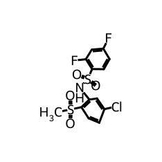 CS(=O)(=O)c1ccc(Cl)cc1NS(=O)(=O)c1ccc(F)cc1F